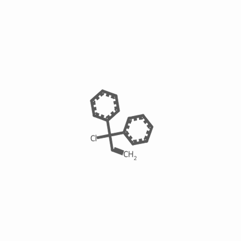 C=CC(Cl)(c1ccccc1)c1ccccc1